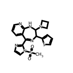 CS(=O)(=O)n1ccnc1C1=NC(c2cccs2)C(N2CCC2)Nc2ncccc21